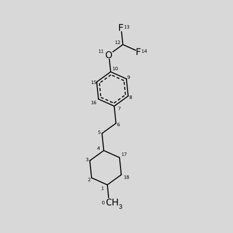 CC1CCC(CCc2ccc(OC(F)F)cc2)CC1